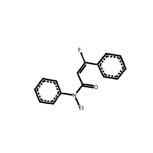 CCN(C(=O)/C=C(/F)c1ccccc1)c1ccccc1